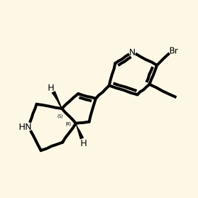 Cc1cc(C2=C[C@H]3CNCC[C@H]3C2)cnc1Br